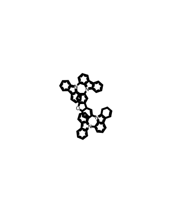 C1=Cc2c(n(C3=CC4c5cc(-n6c7ccccc7c7cccc(-n8c9ccccc9c9ccccc98)c76)ccc5OC4C=C3)c3c(-n4c5ccccc5c5ccccc54)cccc23)CC1